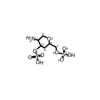 NC1COC(COS(=O)(=O)O)CC1OS(=O)(=O)O